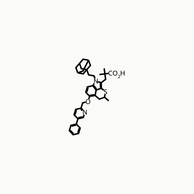 CC1Cc2c(OCc3ccc(-c4ccccc4)cn3)ccc3c2c(c(CC(C)(C)C(=O)O)n3CCC23CC4CC(CC(C4)C2)C3)S1